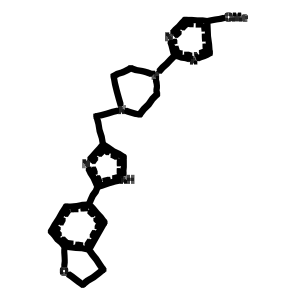 COc1cnc(N2CCN(Cc3c[nH]c(-c4ccc5c(c4)CCO5)n3)CC2)nc1